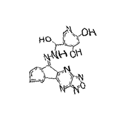 Oc1cc(O)c(C(O)N/N=C2/c3ccccc3-c3nc4nonc4nc32)cn1